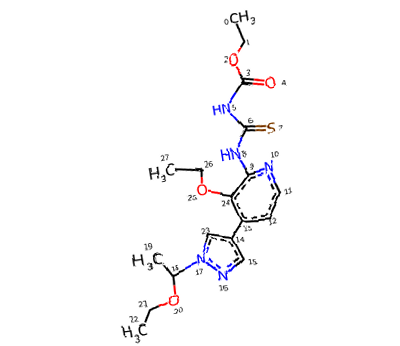 CCOC(=O)NC(=S)Nc1nccc(-c2cnn(C(C)OCC)c2)c1OCC